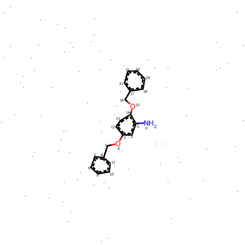 Nc1cc(OCc2ccccc2)ccc1OCc1ccccc1